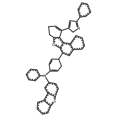 C1=CC(c2cc3ccccc3c3c4c(oc23)CCC=C4C2=CC(c3ccccc3)=NC2)CC=C1N(c1ccccc1)c1ccc2sc3ccccc3c2c1